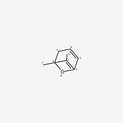 CC1=C2C=CCC1(C)O2